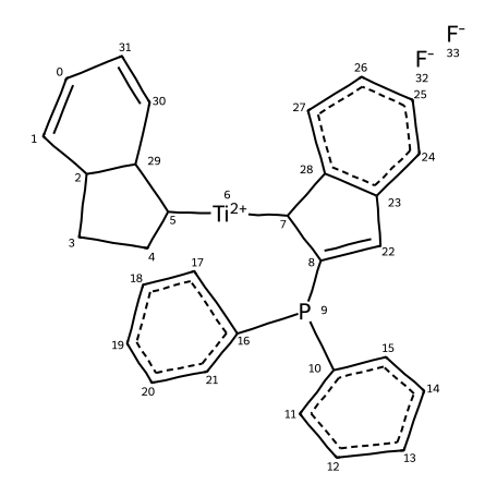 C1=CC2CC[CH]([Ti+2][CH]3C(P(c4ccccc4)c4ccccc4)=Cc4ccccc43)C2C=C1.[F-].[F-]